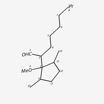 COC1(C(C=O)CCCCC(C)C)C(C)CCC1C